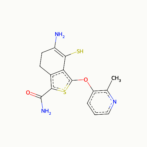 Cc1ncccc1Oc1sc(C(N)=O)c2c1C(S)=C(N)CC2